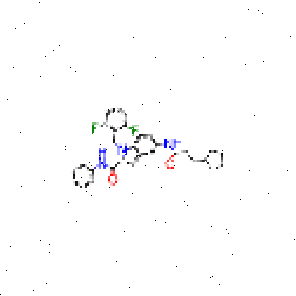 O=C(CCC1CCCC1)Nc1ccc2c(c1)cc(C(=O)Nc1ccccc1)n2Cc1c(F)cccc1F